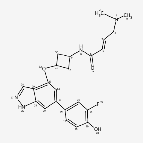 CN(C)C/C=C/C(=O)NC1CC(Oc2cc(-c3ccc(O)c(F)c3)cc3[nH]ncc23)C1